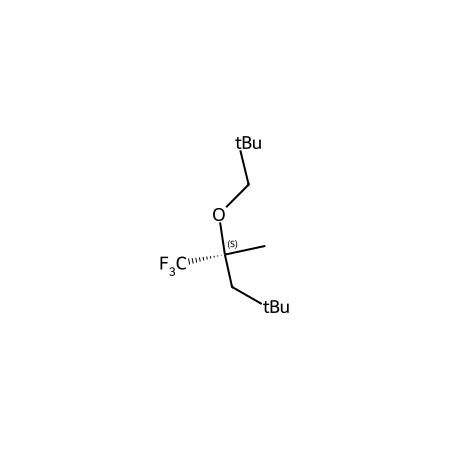 CC(C)(C)CO[C@@](C)(CC(C)(C)C)C(F)(F)F